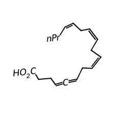 CCC/C=C\C/C=C\C/C=C\CC=C=CCCC(=O)O